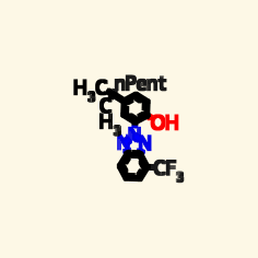 CCCCCC(C)(C)c1ccc(O)c(-n2nc3cccc(C(F)(F)F)c3n2)c1